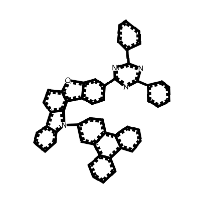 c1ccc(-c2nc(-c3ccccc3)nc(-c3ccc4c(c3)oc3ccc5c6ccccc6n(-c6ccc7c8ccccc8c8ccccc8c7c6)c5c34)n2)cc1